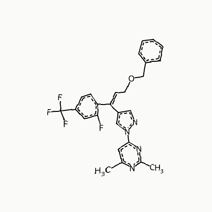 Cc1cc(-n2cc(/C(=C\COCc3ccccc3)c3ccc(C(F)(F)F)cc3F)cn2)nc(C)n1